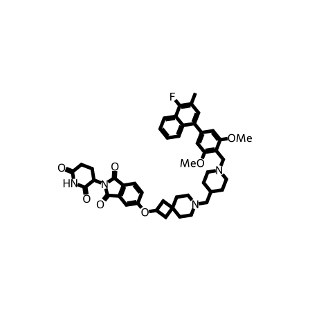 COc1cc(-c2cc(C)c(F)c3ccccc23)cc(OC)c1CN1CCC(CN2CCC3(CC2)CC(Oc2ccc4c(c2)C(=O)N(C2CCC(=O)NC2=O)C4=O)C3)CC1